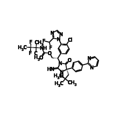 CC(C)(C)C[C@]1(c2ccc(-c3ncccn3)cc2)NC(=N)N([C@H](COC(=O)NC(C)(C)C(C)(F)F)c2ccc(Cl)c(-n3ncnc3C(F)F)c2)C1=O